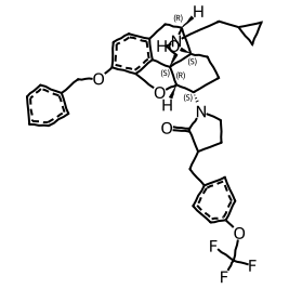 O=C1C(Cc2ccc(OC(F)(F)F)cc2)CCN1[C@H]1CC[C@@]2(O)[C@H]3Cc4ccc(OCc5ccccc5)c5c4[C@@]2(CCN3CC2CC2)[C@H]1O5